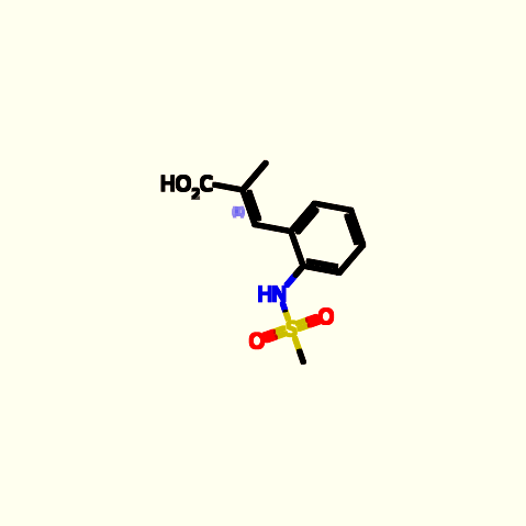 C/C(=C\c1ccccc1NS(C)(=O)=O)C(=O)O